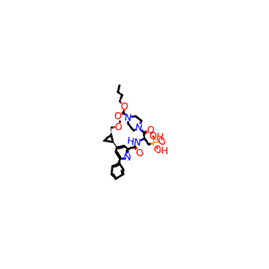 CCCCOC(=O)N1CCN(C(=O)C(CP(=O)(O)O)NC(=O)c2cc([C@H]3C[C@@H]3COC)cc(-c3ccccc3)n2)CC1